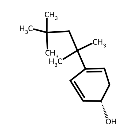 CC(C)(C)CC(C)(C)C1=CC[C@H](O)C=C1